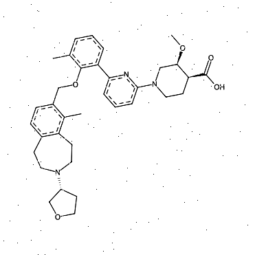 CO[C@@H]1CN(c2cccc(-c3cccc(C)c3OCc3ccc4c(c3C)CCN([C@@H]3CCOC3)CC4)n2)CC[C@@H]1C(=O)O